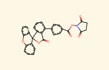 O=C(ON1C(=O)CCC1=O)c1ccc(-c2cccc3c2C(=O)OC32c3ccccc3Oc3ccccc32)cc1